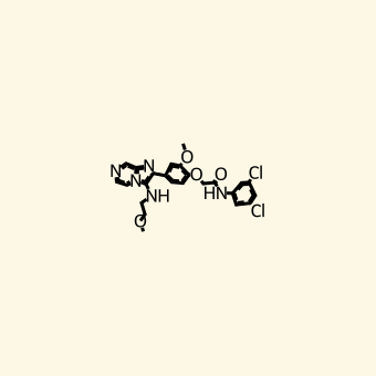 COCCNc1c(-c2ccc(OCC(=O)Nc3cc(Cl)cc(Cl)c3)c(OC)c2)nc2cnccn12